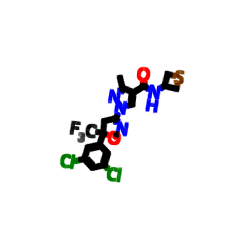 Cc1nn(C2=NOC(c3cc(Cl)cc(Cl)c3)(C(F)(F)F)C2)cc1C(=O)NC1CSC1